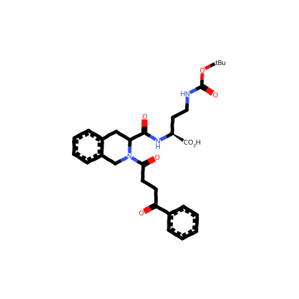 CC(C)(C)OC(=O)NCC[C@H](NC(=O)C1Cc2ccccc2CN1C(=O)CCC(=O)c1ccccc1)C(=O)O